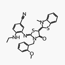 CCNc1ccc(C#N)cc1N=C1SC(=C2Sc3ccccc3N2C)C(=O)N1Cc1ccccc1OC